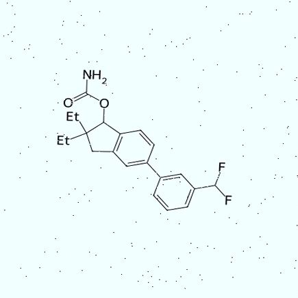 CCC1(CC)Cc2cc(-c3cccc(C(F)F)c3)ccc2C1OC(N)=O